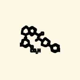 CN(C(=O)c1ccc2c(c1)C(N1C=NC=C(OC(=O)O)C1)CCC2)C1CCN(c2ccncc2)CC1